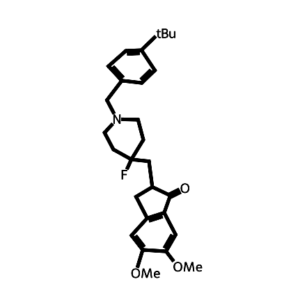 COc1cc2c(cc1OC)C(=O)C(CC1(F)CCN(Cc3ccc(C(C)(C)C)cc3)CC1)C2